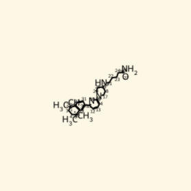 CC1(C)CCC(C)(C)c2cc(-c3cccc(N4CCC(NCCCCC(N)=O)CC4)n3)ccc21